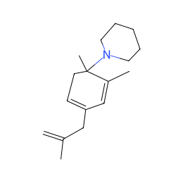 C=C(C)CC1=CCC(C)(N2CCCCC2)C(C)=C1